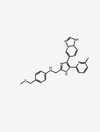 COCc1ccc(NCc2nc(C3=CN4N=CNC4C=C3)c(-c3cccc(C)n3)[nH]2)cc1